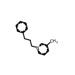 Cc1ccc[n+](CCCc2ccccc2)c1